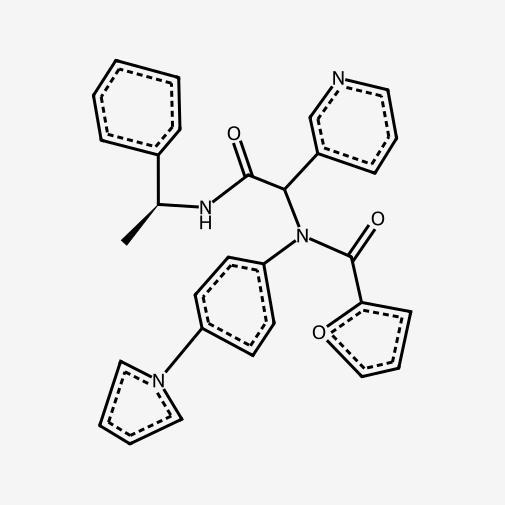 C[C@H](NC(=O)C(c1cccnc1)N(C(=O)c1ccco1)c1ccc(-n2cccc2)cc1)c1ccccc1